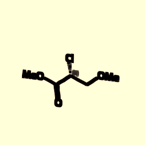 COC[C@@H](Cl)C(=O)OC